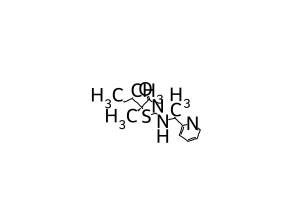 CCC(C)[C@@]1(C)SC(N[C@@H](C)c2ccccn2)=NC1=O